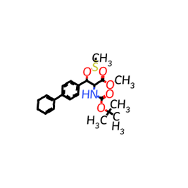 COC(=O)C(NC(=O)OC(C)(C)C)C(OSC)c1ccc(C2=CCCC=C2)cc1